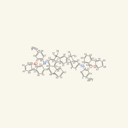 CC(C)c1ccc(N(c2ccc3c(c2)C(C)(C)c2cc4c(cc2-3)-c2c(cc(N(c3ccc(C(C)C)cc3)c3cccc5c3oc3ccccc35)c3ccc5ccccc5c23)C4(C)C)c2cccc3c2oc2ccccc23)cc1